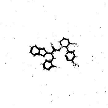 Cc1ccc(C2C(C)CCCN2CC(=O)C(Cc2ccccc2F)C2Cc3ccccc3C2)cc1